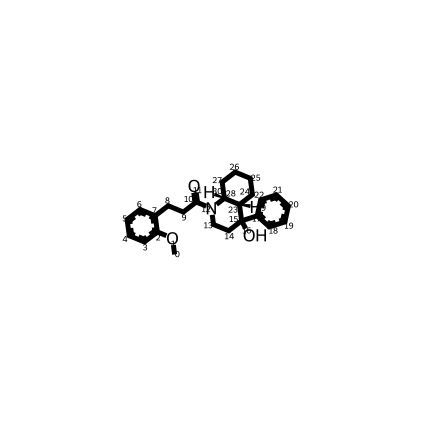 COc1ccccc1CCC(=O)N1CCC(O)(c2ccccc2)[C@H]2CCCC[C@H]21